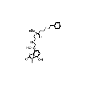 CCCCN(CCNC[C@H](O)c1ccc(O)c2[nH]c(=O)sc12)C(=O)CCOCCc1ccccc1